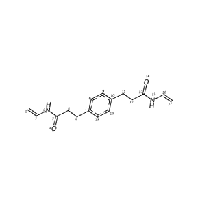 C=CNC(=O)CCc1ccc(CCC(=O)NC=C)cc1